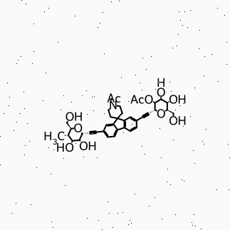 CC(=O)O[C@H]1[C@@H](O)[C@H](O)[C@@H](CO)O[C@@H]1C#Cc1ccc2c(c1)C1(CCN(C(C)=O)CC1)c1cc(C#C[C@H]3O[C@H](CO)[C@@H](C)[C@H](O)[C@@H]3O)ccc1-2